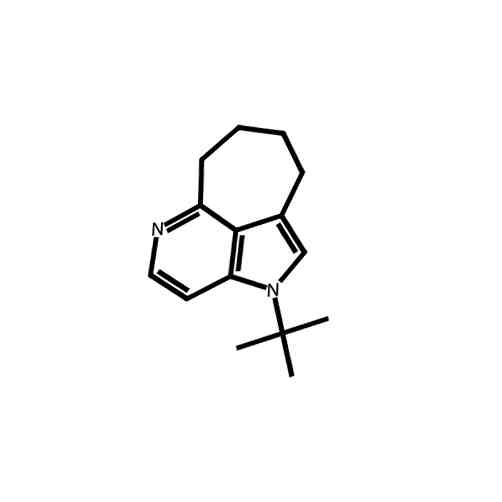 CC(C)(C)n1cc2c3c(nccc31)CCCC2